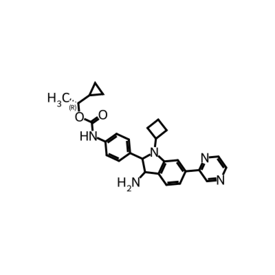 C[C@@H](OC(=O)Nc1ccc(C2C(N)c3ccc(-c4cnccn4)cc3N2C2CCC2)cc1)C1CC1